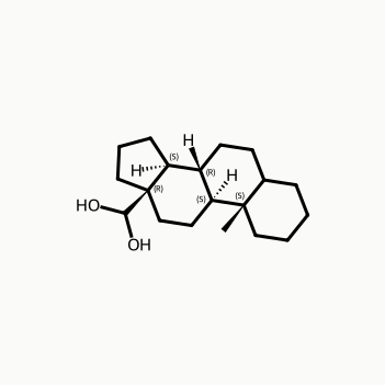 C[C@]12CCCCC1CC[C@H]1[C@@H]3CCC[C@@]3(C(O)O)CC[C@@H]12